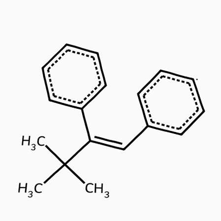 CC(C)(C)C(=Cc1cc[c]cc1)c1ccccc1